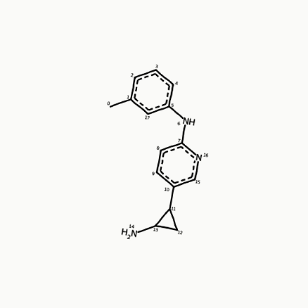 Cc1cccc(Nc2ccc(C3CC3N)cn2)c1